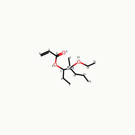 C=CC(=O)OC(CC)[Si](C)(CCC)OCC